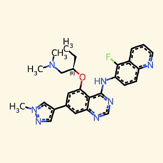 CC[C@H](CN(C)C)Oc1cc(-c2cnn(C)c2)cc2ncnc(Nc3ccc4ncccc4c3F)c12